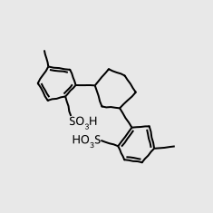 Cc1ccc(S(=O)(=O)O)c(C2CCCC(c3cc(C)ccc3S(=O)(=O)O)C2)c1